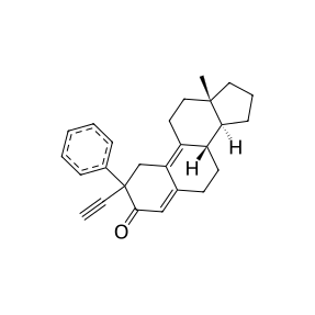 C#CC1(c2ccccc2)CC2=C3CC[C@]4(C)CCC[C@H]4[C@@H]3CCC2=CC1=O